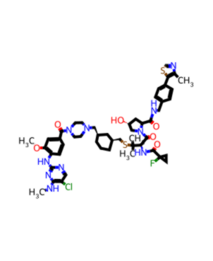 CNc1nc(Nc2ccc(C(=O)N3CCN(C[C@@H]4CCC[C@H](CSC(C)(C)[C@H](NC(=O)C5(F)CC5)C(=O)N5C[C@H](O)CC5C(=O)NCc5ccc(-c6scnc6C)cc5)C4)CC3)cc2OC)ncc1Cl